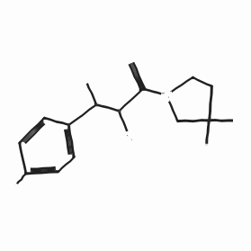 Cl.NC(C(=O)N1CCC(F)(F)C1)C(O)c1ccc(F)cc1